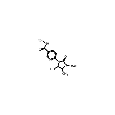 CON1C(=O)N(c2ccc(C(=O)NC(C)(C)C)cn2)C(O)C1C